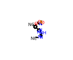 CC(CN(C)S(C)(=O)=O)Oc1cc(-c2cnc(Nc3cnn(CCC#N)c3)nc2)ccc1C#N